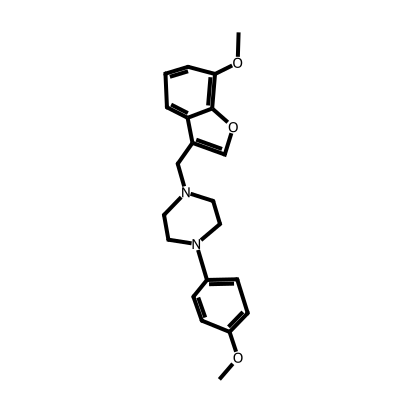 COc1ccc(N2CCN(Cc3coc4c(OC)cccc34)CC2)cc1